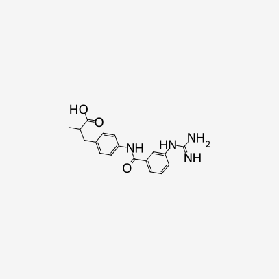 CC(Cc1ccc(NC(=O)c2cccc(NC(=N)N)c2)cc1)C(=O)O